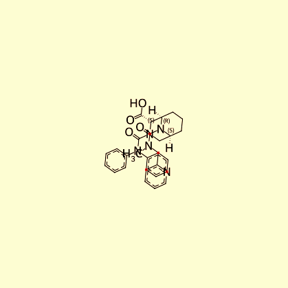 CN(Cc1ccccn1)C(=O)N1[C@H]2CCC[C@@H]1[C@@H](C(=O)O)N(C(=O)N(c1ccccc1)c1ccccc1)C2